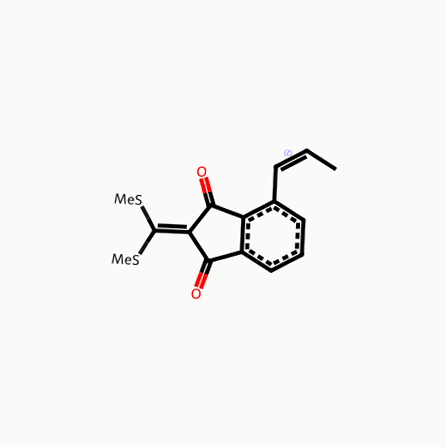 C/C=C\c1cccc2c1C(=O)C(=C(SC)SC)C2=O